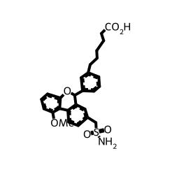 COc1cccc2c1-c1ccc(CS(N)(=O)=O)cc1C(c1cccc(CCCCCC(=O)O)c1)O2